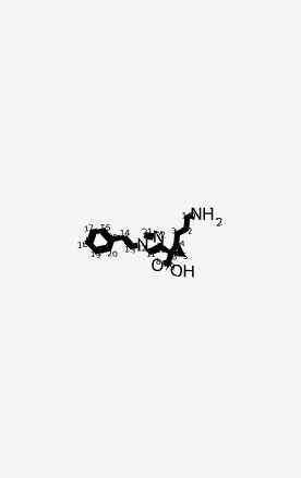 NCCCC1CC1(C(=O)O)c1cn(C=Cc2ccccc2)cn1